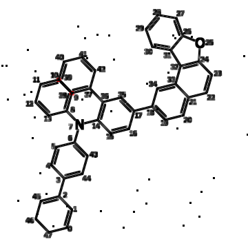 C1=CC(c2ccc(N(c3ccccc3)c3ccc(-c4ccc5ccc6oc7ccccc7c6c5c4)cc3-c3ccccc3)cc2)=CCC1